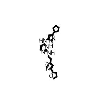 c1cc(Nc2cc(C3CCCC3)n[nH]2)nc(NCCc2cc(C3CCCO3)no2)n1